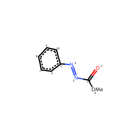 COC(=O)N=Nc1ccccc1